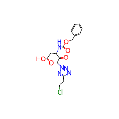 O=C(O)CC(NC(=O)OCc1ccccc1)C(=O)Cn1nnc(CCCl)n1